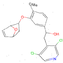 COc1ccc(C(O)Cc2c(Cl)cncc2Cl)cc1OC1CC2C=CC1O2